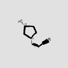 N#C/C=C\[C@H]1CC[C@@H](O)C1